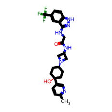 Cc1ccc([C@]2(O)CC[C@H](N3CC(NC(=O)CNc4n[nH]c5ccc(C(F)(F)F)cc45)C3)CC2)cn1